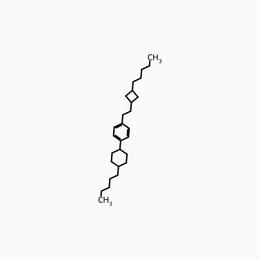 CCCCCC1CCC(c2ccc(CCC3CC(CCCCC)C3)cc2)CC1